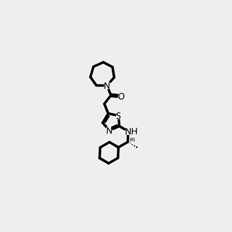 C[C@@H](Nc1ncc(CC(=O)N2CCCCCC2)s1)C1CCCCC1